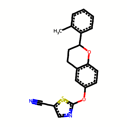 Cc1ccccc1C1CCc2cc(Oc3ncc(C#N)s3)ccc2O1